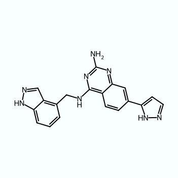 Nc1nc(NCc2cccc3[nH]ncc23)c2ccc(-c3ccn[nH]3)cc2n1